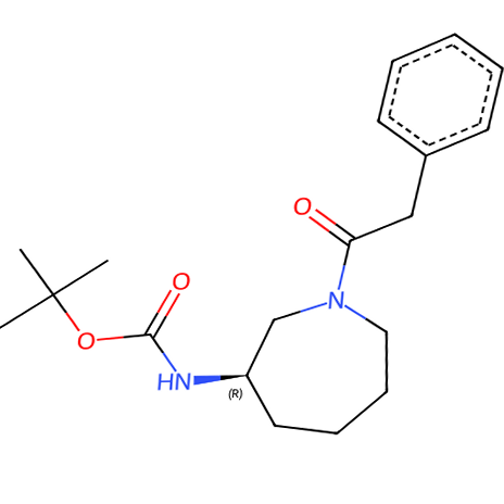 CC(C)(C)OC(=O)N[C@@H]1CCCCN(C(=O)Cc2ccccc2)C1